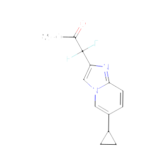 COC(=O)C(F)(F)c1cn2cc(C3CC3)ccc2n1